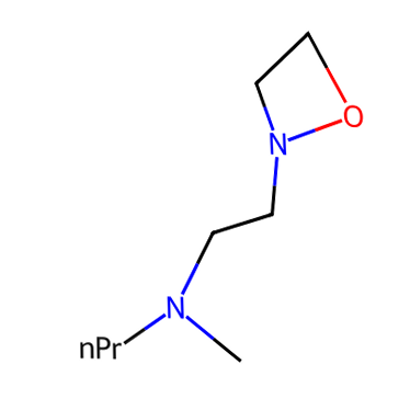 CCCN(C)CCN1CCO1